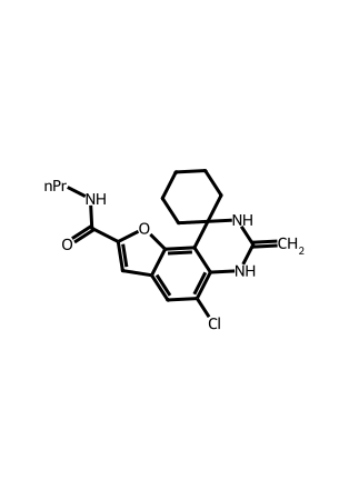 C=C1Nc2c(Cl)cc3cc(C(=O)NCCC)oc3c2C2(CCCCC2)N1